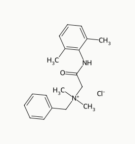 Cc1cccc(C)c1NC(=O)C[N+](C)(C)Cc1ccccc1.[Cl-]